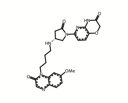 COc1ccc2ncc(=O)n(CCCCN[C@@H]3CC(=O)N(c4ccc5c(n4)NC(=O)CO5)C3)c2c1